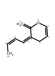 C=C1OC=CC/C1=C/C=C\C